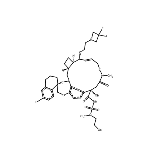 CN1CC/C=C/[C@H](OCCN2CC(F)(F)C2)[C@@H]2CC[C@H]2CN2C[C@@]3(CCCc4cc(Cl)ccc43)COc3ccc(cc32)[C@@](O)(C(=O)NS(=O)(=O)N(C)CCO)CC1=O